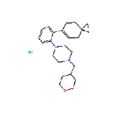 C1=C(c2ccccc2N2CCN(CC3CCOCC3)CC2)CCC2(C1)CC2.Cl